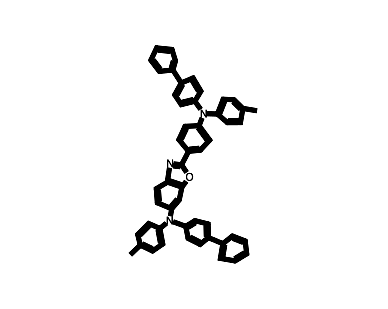 Cc1ccc(N(c2ccc(-c3ccccc3)cc2)c2ccc(-c3nc4ccc(N(c5ccc(C)cc5)c5ccc(-c6ccccc6)cc5)cc4o3)cc2)cc1